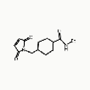 CCNC(=O)C1CCC(CN2C(=O)C=CC2=O)CC1